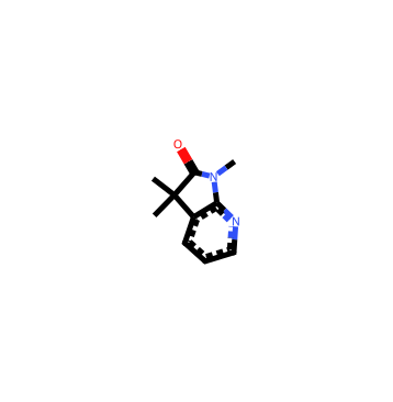 CN1C(=O)C(C)(C)c2cccnc21